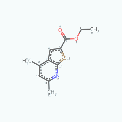 CCOC(=O)c1cc2c(C)cc(C)nc2s1